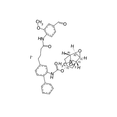 COc1cc(C=O)ccc1NC(=O)CCCc1ccc(-c2ccccc2)c(NC(=O)O[C@@H]2C[C@@H]3[C@H]4O[C@H]4[C@H](C2)[N+]3(C)C)c1.[I-]